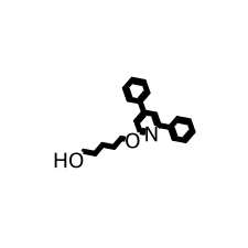 OCCCCCOc1cc(-c2ccccc2)cc(-c2ccccc2)n1